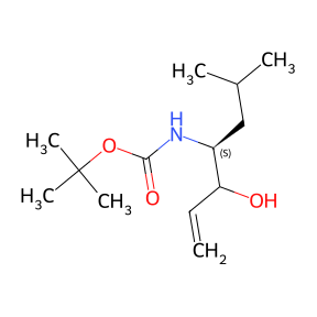 C=CC(O)[C@H](CC(C)C)NC(=O)OC(C)(C)C